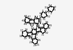 c1ccc(-c2ccc(-c3nc(-n4c5cc6c7ccccc7n7c8ccccc8c(c5c5ccc8ccccc8c54)c67)c4oc5ccccc5c4n3)cc2)cc1